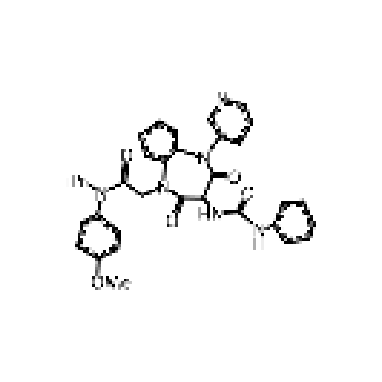 COc1ccc(N(C(=O)CN2C(=O)C(NC(=O)Nc3ccccc3)C(=O)N(c3cccnc3)c3ccccc32)C(C)C)cc1